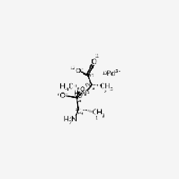 C.C[C@H](N)C(=O)[O-].C[C@H](N)C(=O)[O-].[Pd+2]